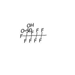 CC(F)(F)C(F)(F)C(F)(F)C(F)(F)S(=O)(=O)O